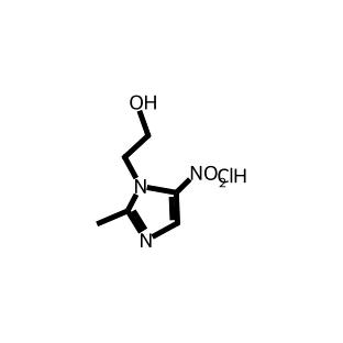 Cc1ncc([N+](=O)[O-])n1CCO.Cl